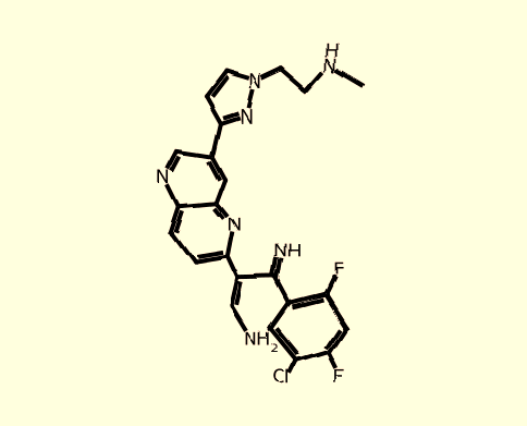 CNCCn1ccc(-c2cnc3ccc(/C(=C/N)C(=N)c4cc(Cl)c(F)cc4F)nc3c2)n1